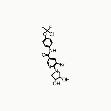 O=C(Nc1ccc(OC(F)(F)Cl)cc1)c1cnc(N2C[C@@H](O)[C@@H](O)C2)c(Br)c1